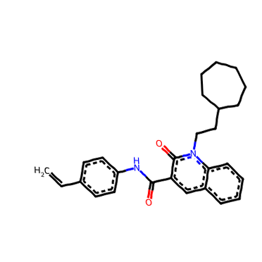 C=Cc1ccc(NC(=O)c2cc3ccccc3n(CCC3CCCCCC3)c2=O)cc1